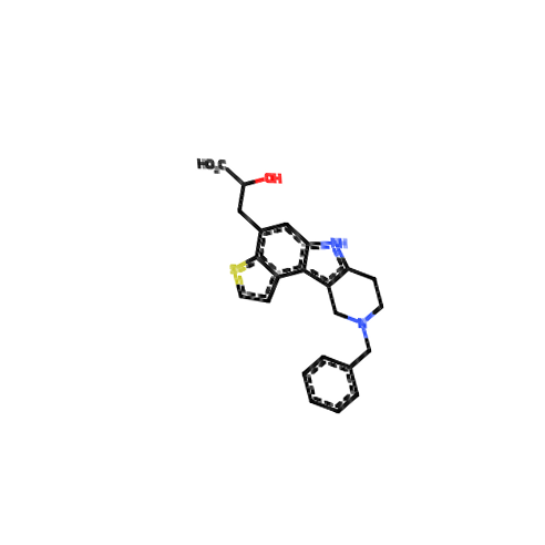 O=C(O)C(O)Cc1cc2[nH]c3c(c2c2ccsc12)CN(Cc1ccccc1)CC3